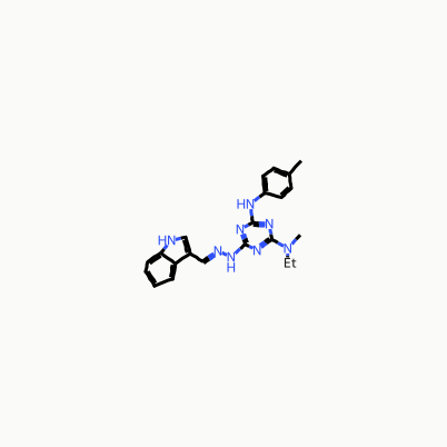 CCN(C)c1nc(N/N=C/c2c[nH]c3ccccc23)nc(Nc2ccc(C)cc2)n1